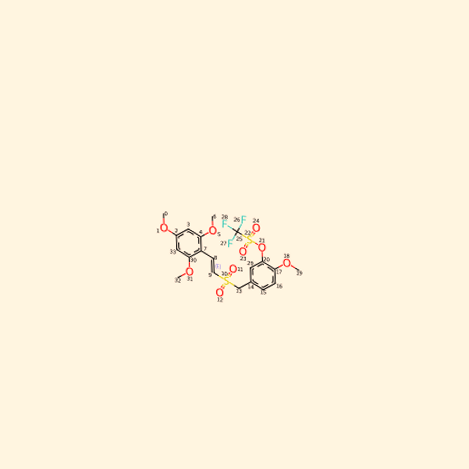 COc1cc(OC)c(/C=C/S(=O)(=O)Cc2ccc(OC)c(OS(=O)(=O)C(F)(F)F)c2)c(OC)c1